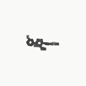 CCCCCCC#CC(=O)N(NC(=O)c1cccc(F)c1)C(C)(C)C